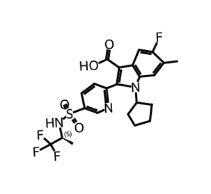 Cc1cc2c(cc1F)c(C(=O)O)c(-c1ccc(S(=O)(=O)N[C@@H](C)C(F)(F)F)cn1)n2C1CCCC1